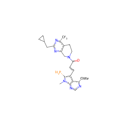 COc1ncnc2c1c(/C=C/C(=O)N1CCc3c(nc(CC4CC4)nc3C(F)(F)F)C1)c(P)n2C